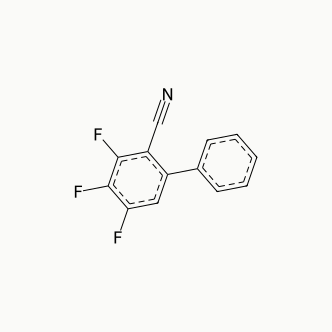 N#Cc1c(-c2ccccc2)cc(F)c(F)c1F